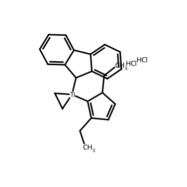 CCC1=[C]([Ti]2([CH]3c4ccccc4-c4ccccc43)[CH2][CH2]2)C(CC)C=C1.Cl.Cl